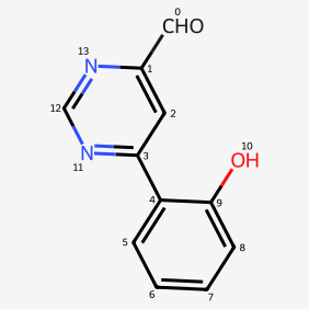 O=Cc1cc(-c2ccccc2O)ncn1